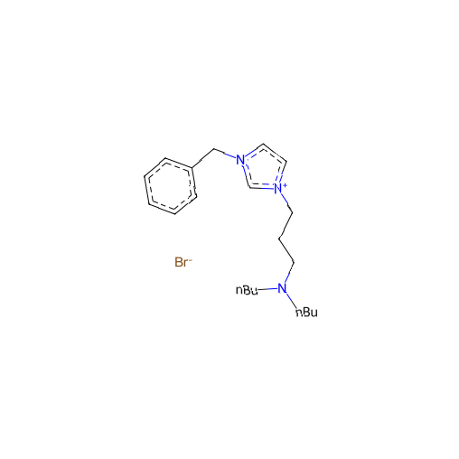 CCCCN(CCCC)CCC[n+]1ccn(Cc2ccccc2)c1.[Br-]